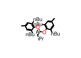 CCCCc1cc(C)cc(CCCC)c1[O][Al]([CH2]C(C)C)[O]c1c(CCCC)cc(C)cc1CCCC